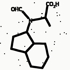 CC(C(=O)O)N(C=O)C1CCC2CCCCC21